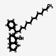 CCCCCCCCCCCCC(c1ccccc1)c1ccc2cccnc2c1O